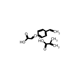 C=C(C)C(=O)O.C=CC(=O)O.C=Cc1ccccc1